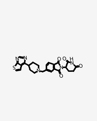 O=C1CCC(N2C(=O)c3ccc(CN4CCC(c5ncnc6sccc56)CC4)cc3C2=O)C(=O)N1